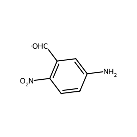 Nc1ccc([N+](=O)[O-])c([C]=O)c1